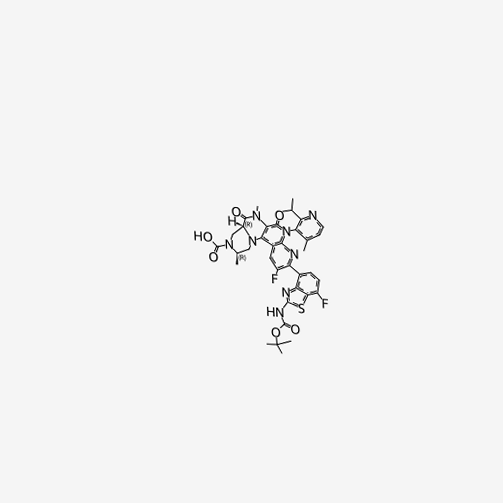 Cc1ccnc(C(C)C)c1-n1c(=O)c2c(c3cc(F)c(-c4ccc(F)c5sc(NC(=O)OC(C)(C)C)nc45)nc31)N1C[C@@H](C)N(C(=O)O)C[C@@H]1C(=O)N2C